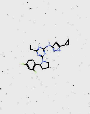 CCc1nc(Nc2cc(C3CC3)[nH]n2)nc(N2CCCC2c2ccc(F)cc2F)n1